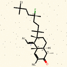 CCC(C)(C)CC[C@](C)(F)CCC(C)(C)[C@]1(C)CC[C@H]2[C@H](C)C(=O)C(C#N)=C[C@]2(C)/C1=C/C(C)=O